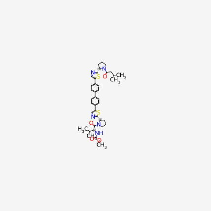 COC(=O)N[C@@H](C(=O)N1CCC[C@H]1c1ncc(-c2ccc(-c3ccc(-c4cnc([C@@H]5CCCN5C(=O)CC(C)C)s4)cc3)cc2)s1)C(C)C